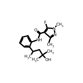 Cc1nn(C)c(F)c1C(=O)Nc1ccccc1C(C)CC(C)(C)O